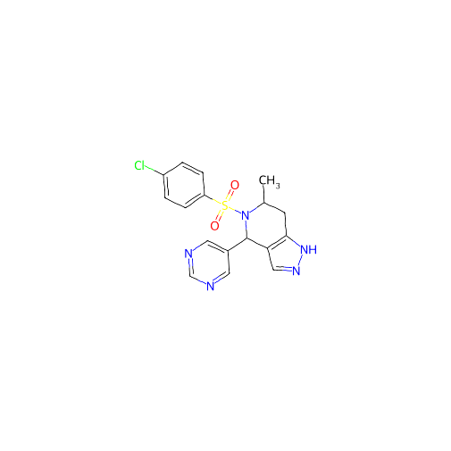 CC1Cc2[nH]ncc2C(c2cncnc2)N1S(=O)(=O)c1ccc(Cl)cc1